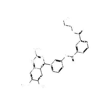 CNc1nc(-c2cccc(NC(=O)c3cccc(C(=O)OCCOC)c3)c2)c2cc(OC)c(OC)cc2n1